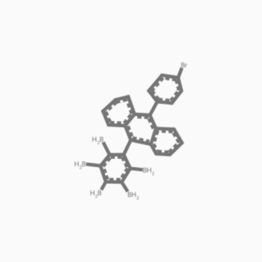 Bc1c(B)c(B)c(-c2c3ccccc3c(-c3ccc(Br)cc3)c3ccccc23)c(B)c1B